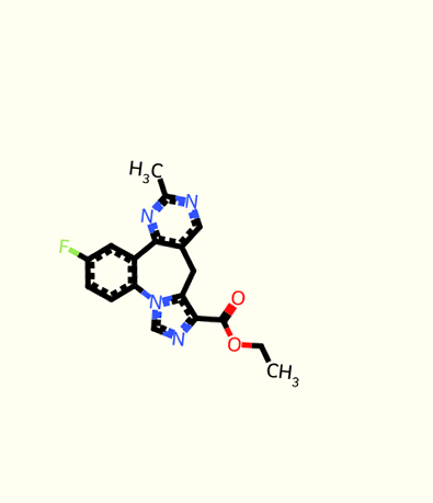 CCOC(=O)c1ncn2c1Cc1cnc(C)nc1-c1cc(F)ccc1-2